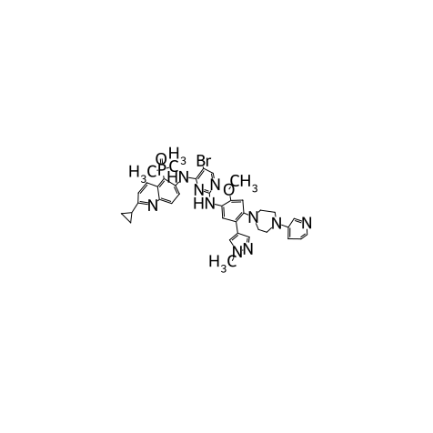 COc1cc(N2CCN(c3cccnc3)CC2)c(-c2cnn(C)c2)cc1Nc1ncc(Br)c(Nc2ccc3nc(C4CC4)ccc3c2P(C)(C)=O)n1